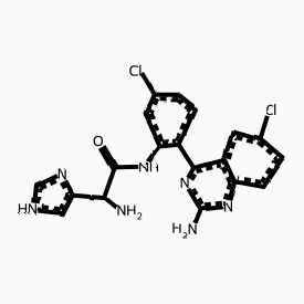 Nc1nc(-c2ccc(Cl)cc2NC(=O)C(N)c2c[nH]cn2)c2cc(Cl)ccc2n1